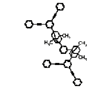 CC12CC3(C)CC(c4cc(C#Cc5ccccc5)cc(C#Cc5ccccc5)c4)(C1)CC(c1cccc(C45CC6(C)CC(C)(CC(c7cc(C#Cc8ccccc8)cc(C#Cc8ccccc8)c7)(C6)C4)C5)c1)(C2)C3